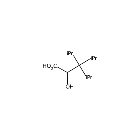 CC(C)C(C(C)C)(C(C)C)C(O)C(=O)O